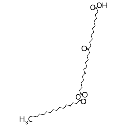 CCCCCCCCCCCCCCCC(=O)OC(=O)CCCCCCCCCCCCC(=O)CCCCCCCCCCCC(=O)O